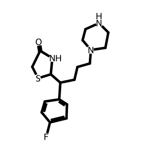 O=C1CSC(C(CCCN2CCNCC2)c2ccc(F)cc2)N1